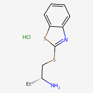 CC[C@@H](N)CSc1nc2ccccc2s1.Cl